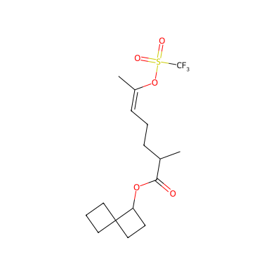 CC(=CCCC(C)C(=O)OC1CCC12CCC2)OS(=O)(=O)C(F)(F)F